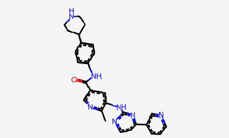 Cc1ncc(C(=O)Nc2ccc(C3CCNCC3)cc2)cc1Nc1nccc(-c2cccnc2)n1